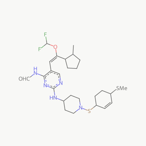 CSC1C=CC(SN2CCC(Nc3ncc(/C=C(/OC(F)F)C4CCCC4C)c(NC=O)n3)CC2)CC1